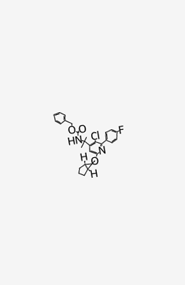 CC(C)(NC(=O)OCc1ccccc1)c1cc(O[C@H]2[C@@H]3CCC[C@@H]32)nc(-c2ccc(F)cc2)c1Cl